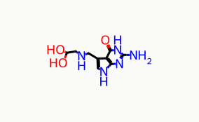 Nc1nc2[nH]cc(CNCC(O)O)c2c(=O)[nH]1